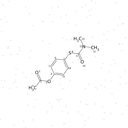 CC(=O)Oc1ccc(SC(=O)N(C)C)cc1